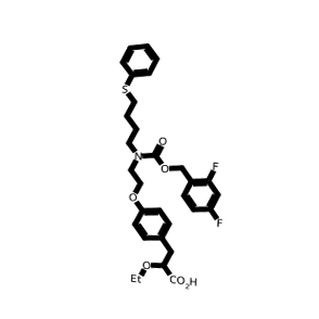 CCOC(Cc1ccc(OCCN(CCCCSc2ccccc2)C(=O)OCc2ccc(F)cc2F)cc1)C(=O)O